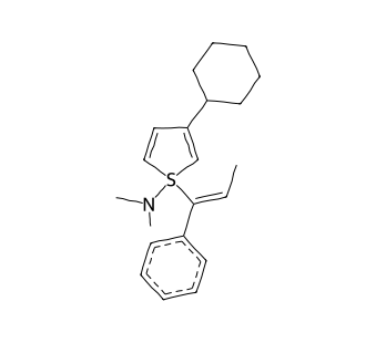 CC=C(c1ccccc1)S1(N(C)C)C=CC(C2CCCCC2)=C1